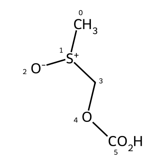 C[S+]([O-])COC(=O)O